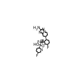 CCC(F)(F)C(O)(Oc1c(F)ccc(-c2ccn3nc(N)nc3c2)c1F)c1ccc(F)cn1